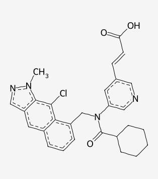 Cn1ncc2cc3cccc(CN(C(=O)C4CCCCC4)c4cncc(C=CC(=O)O)c4)c3c(Cl)c21